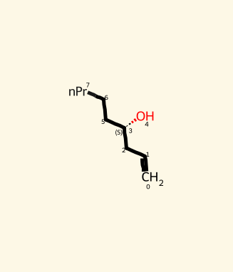 C=CC[C@@H](O)CCCCC